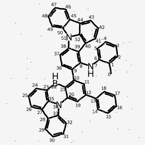 Cc1ccccc1Nc1c(-c2cc(-c3ccccc3)cc3c2Bc2cccc4c5ccccc5n-3c24)ccc2c1c1cccc3c4ccccc4n2c31